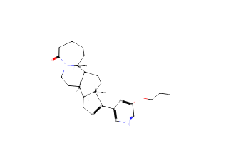 CCCOc1cncc(C2=CC[C@H]3[C@@H]4CCN5C(=O)CCCC[C@]5(C)C4CC[C@]23C)c1